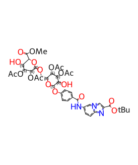 COC(=O)C1O[C@@H](OC[C@H]2O[C@@H](Oc3ccc(C(=O)Nc4ccc5nc(C(=O)OC(C)(C)C)cn5c4)cc3)[C@H](O)[C@@H](OC(C)=O)[C@H]2OC(C)=O)[C@H](OC(C)=O)[C@@H](OC(C)=O)[C@@H]1O